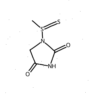 CS(=S)N1CC(=O)NC1=O